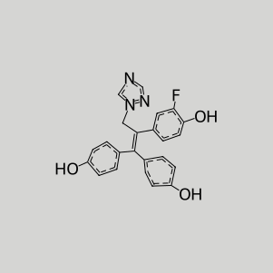 Oc1ccc(C(=C(Cn2cncn2)c2ccc(O)c(F)c2)c2ccc(O)cc2)cc1